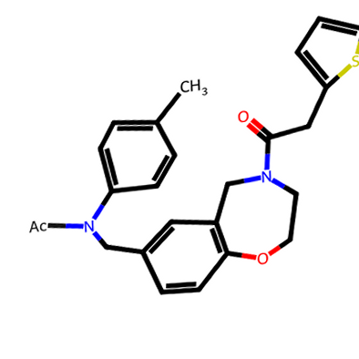 CC(=O)N(Cc1ccc2c(c1)CN(C(=O)Cc1cccs1)CCO2)c1ccc(C)cc1